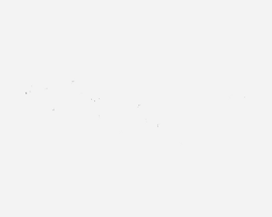 CC=CCc1cccc(-c2ccc(C=Nc3ccc(CCCC)cc3)cc2)c1